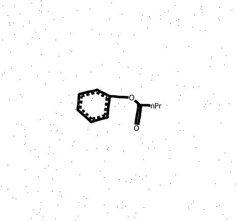 CCCC(=O)Oc1cc[c]cc1